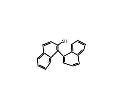 Sc1ccc2ccccc2c1-c1cccc2ccccc12